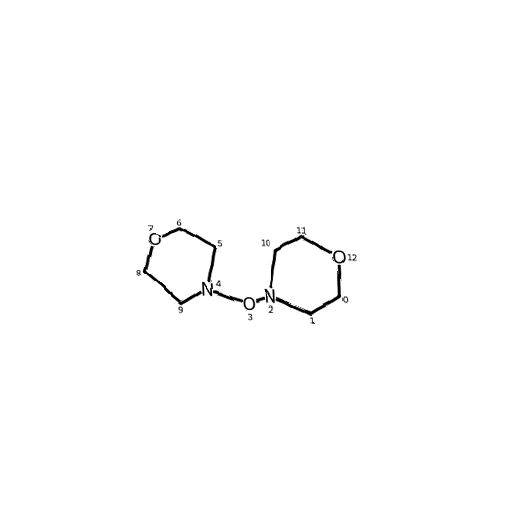 C1CN(ON2CCOCC2)CCO1